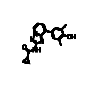 Cc1cc(-c2cccn3nc(NC(=O)C4CC4)nc23)cc(C)c1O